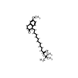 COc1ccc2c(c1)CCC(=O)C2CCCCCCCCCCC(=O)OC(C)(C)C